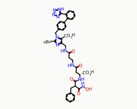 CCCCc1nc(CNC(=O)CCNC(=O)C[C@@H](NC(=O)C(Cc2ccccc2)C(=O)NO)C(=O)O)c(C(=O)O)n1Cc1ccc(-c2ccccc2-c2nnn[nH]2)cc1